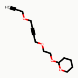 C#CCOCC#CCOCCOC1CCCCO1